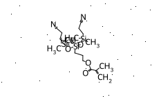 C=C(C)C(=O)OCCC[Si](C)(O[Si](C)(C)CCC#N)O[Si](C)(C)CCC#N